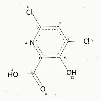 O=C(O)c1nc(Cl)cc(Cl)c1O